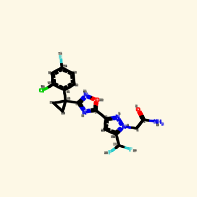 NC(=O)Cn1nc(-c2nc(C3(c4ccc(F)cc4Cl)CC3)no2)cc1C(F)F